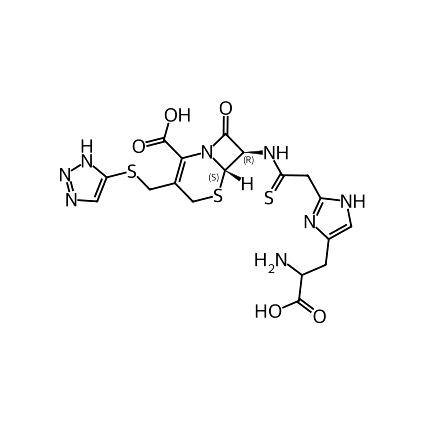 NC(Cc1c[nH]c(CC(=S)N[C@@H]2C(=O)N3C(C(=O)O)=C(CSc4cnn[nH]4)CS[C@@H]23)n1)C(=O)O